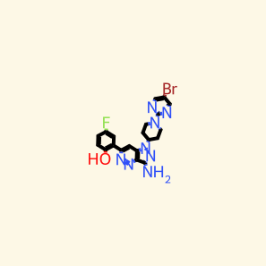 Nc1nn(C2CCN(c3ncc(Br)cn3)CC2)c2cc(-c3cc(F)ccc3O)nnc12